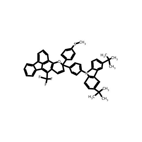 CSc1ccc(C2(c3ccc(-n4c5ccc(C(C)(C)C)cc5c5cc(C(C)(C)C)ccc54)cc3)C=Cc3c(C(F)(F)F)c4c5c(cccc5c3O2)-c2ccccc2-4)cc1